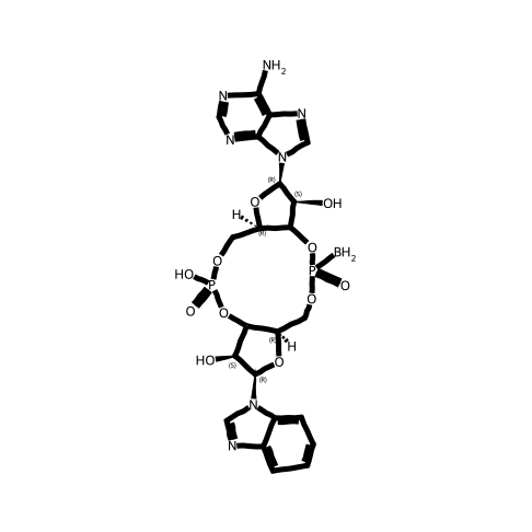 BP1(=O)OC[C@H]2O[C@@H](n3cnc4ccccc43)[C@@H](O)C2OP(=O)(O)OC[C@H]2O[C@@H](n3cnc4c(N)ncnc43)[C@@H](O)C2O1